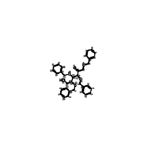 O=C(COCc1ccccc1)[C@@H](OCc1ccccc1)[C@H](OCc1ccccc1)[C@H](CO)OCc1ccccc1